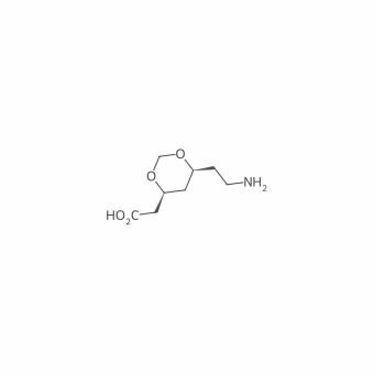 NCC[C@H]1C[C@@H](CC(=O)O)OCO1